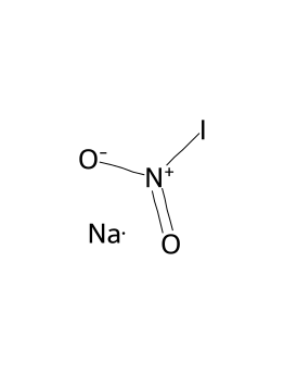 O=[N+]([O-])I.[Na]